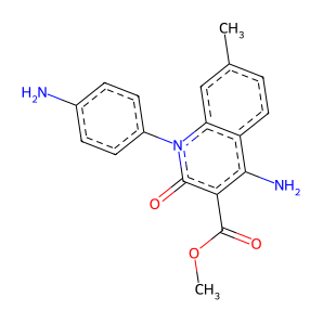 COC(=O)c1c(N)c2ccc(C)cc2n(-c2ccc(N)cc2)c1=O